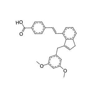 COc1cc(CC2=CCc3cccc(C=Cc4ccc(C(=O)O)cc4)c32)cc(OC)c1